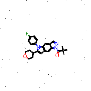 CC(C)(C)C(=O)n1ncc2cc3c(cc(C4CCOCC4)n3-c3ccc(F)cc3)cc21